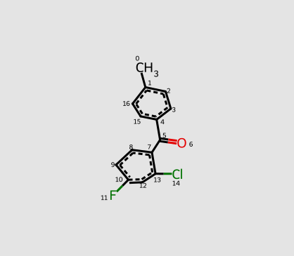 Cc1ccc(C(=O)c2ccc(F)cc2Cl)cc1